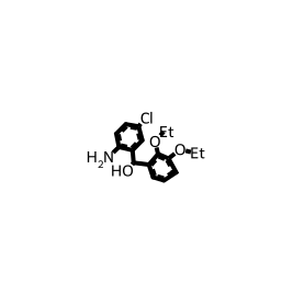 CCOc1cccc(C(O)c2cc(Cl)ccc2N)c1OCC